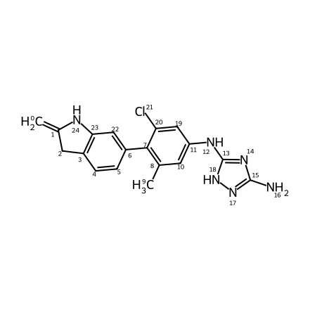 C=C1Cc2ccc(-c3c(C)cc(Nc4nc(N)n[nH]4)cc3Cl)cc2N1